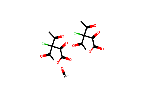 CC(=O)C(Cl)(C(C)=O)C(=O)C(=O)[O-].CC(=O)C(Cl)(C(C)=O)C(=O)C(=O)[O-].[O]=[V+2]